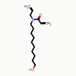 C=CCN(CCCCCCCCCCO)C(=O)C=C